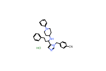 Cl.N#Cc1ccc(Cn2cncc2C(CCc2ccccc2)NC2CCN(c3ccccc3)CC2)cc1